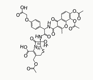 CO[C@@]1(NC(=O)C(NC(=O)c2c(C)oc3c(OC(C)=O)c(OC(C)=O)ccc3c2=O)c2ccc(OCC(=O)O)cc2)C(=O)N2C(C(=O)O)=C(COC(C)=O)CS[C@@H]21